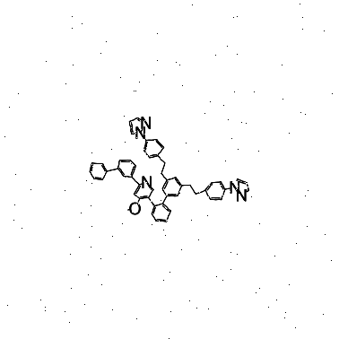 COc1cc(-c2cccc(-c3ccccc3)c2)ncc1-c1ccccc1-c1cc(CCc2ccc(-n3cccn3)cc2)cc(CCc2ccc(-n3cccn3)cc2)c1